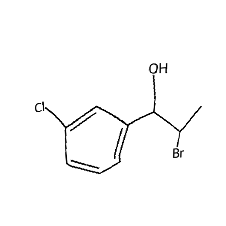 CC(Br)C(O)c1cccc(Cl)c1